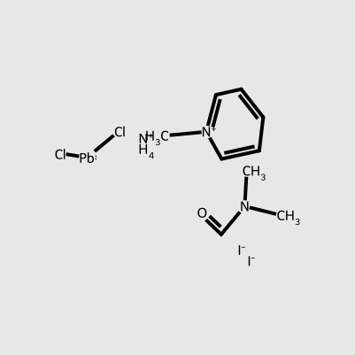 CN(C)C=O.C[n+]1ccccc1.[Cl][Pb][Cl].[I-].[I-].[NH4+]